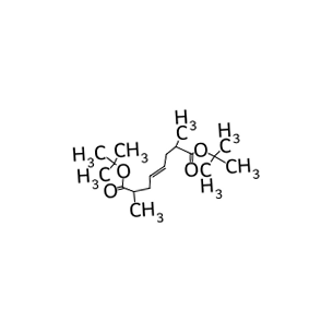 CC(CC=CCC(C)C(=O)OC(C)(C)C)C(=O)OC(C)(C)C